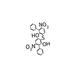 O=[N+]([O-])c1ccc(Sc2ccc([N+](=O)[O-])c(-c3ccccc3)c2O)c(O)c1-c1ccccc1